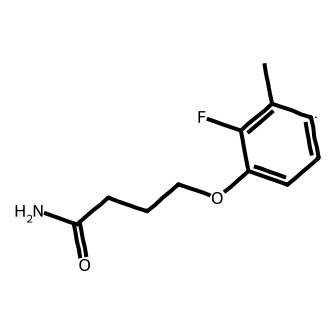 Cc1[c]ccc(OCCCC(N)=O)c1F